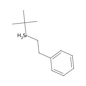 CC(C)(C)[SiH2]CCc1ccccc1